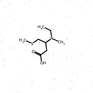 CCN(C)C(CSC)CC(=O)O